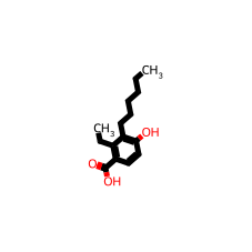 CCCCCCc1c(O)ccc(C(=O)O)c1CC